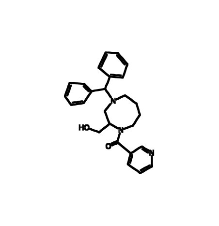 O=C(c1cccnc1)N1CCCCN(C(c2ccccc2)c2ccccc2)CC1CO